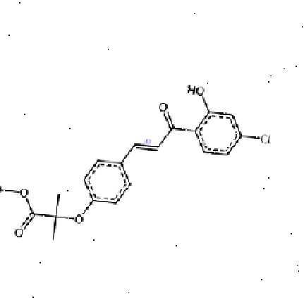 CC(C)OC(=O)C(C)(C)Oc1ccc(/C=C/C(=O)c2ccc(Cl)cc2O)cc1